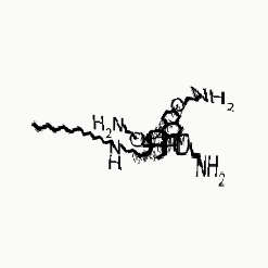 CCCCCCCCCCCCCNCCC[C@@H](C)[C@H]1CC[C@H]2C3[C@H](OCCCN)CC4C[C@H](OCCCN)CC[C@]4(C)[C@H]3C[C@H](OCCCN)C12C